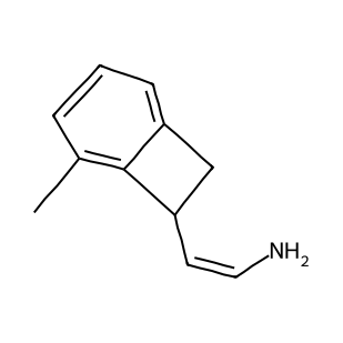 Cc1cccc2c1C(/C=C\N)C2